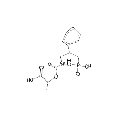 CC(OC(=O)NCC(CP(=O)(O)O)c1ccccc1)C(=O)O